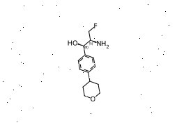 N[C@H](CF)[C@H](O)c1ccc(C2CCOCC2)cc1